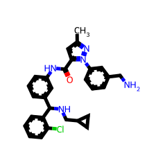 Cc1cc(C(=O)Nc2cccc(C(NCC3CC3)c3ccccc3Cl)c2)n(-c2cccc(CN)c2)n1